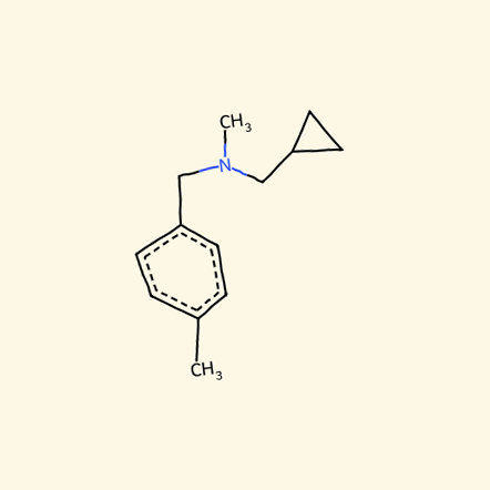 Cc1ccc(CN(C)CC2CC2)cc1